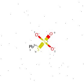 O=S([O-])([O-])=S.[Pb+2]